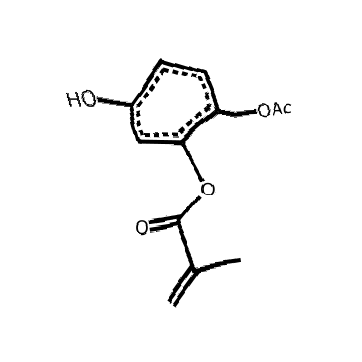 C=C(C)C(=O)Oc1cc(O)ccc1OC(C)=O